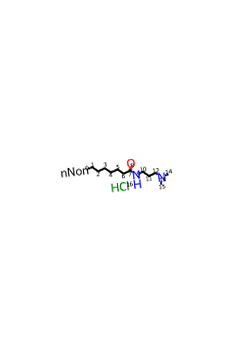 CCCCCCCCCCCCCCCC(=O)NCCCN(C)C.Cl